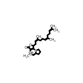 COCC1CCCN1C1=C(C)C(=O)OC1CC=C(C)CCC=C(C)CCC=C(C)C